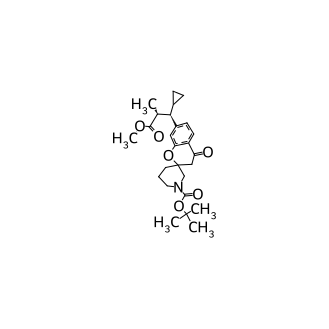 COC(=O)[C@@H](C)[C@H](c1ccc2c(c1)OC1(CCCN(C(=O)OC(C)(C)C)C1)CC2=O)C1CC1